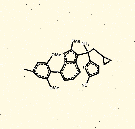 COc1cc(C)cc(OC)c1-c1cccc2c(C(N)(CC3CC3)c3ccc(C#N)o3)c(SC)nn12